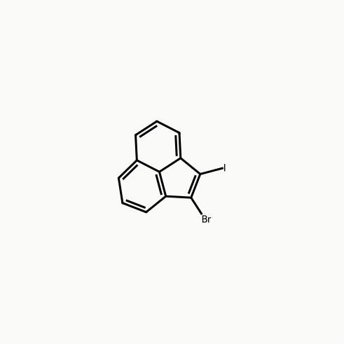 BrC1=C(I)c2cccc3cccc1c23